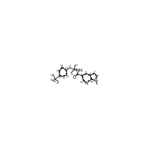 Cn1ccc2cc(C(=O)NC(C)(C)Cc3ccc(C(C)(C)C)cc3)cnc21